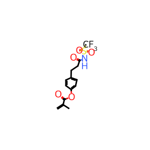 C=C(C)C(=O)Oc1ccc(CCC(=O)NS(=O)(=O)C(F)(F)F)cc1